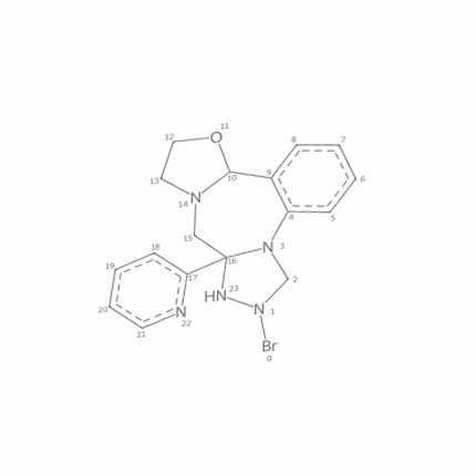 BrN1CN2c3ccccc3C3OCCN3CC2(c2ccccn2)N1